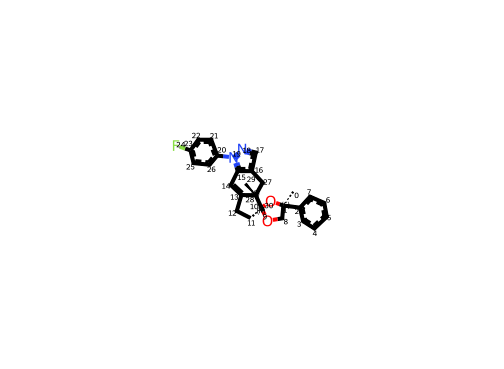 C[C@]1(c2ccccc2)CO[C@]2(CCC3=Cc4c(cnn4-c4ccc(F)cc4)C[C@@]32C)O1